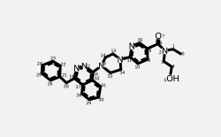 CCN(CCO)C(=O)c1ccc(N2CCN(c3nnc(Cc4ccccc4)c4ccccc34)CC2)nc1